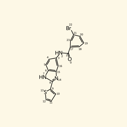 O=C(Nc1ccc2[nH]c(-c3cccs3)nc2c1)c1cccc(Br)c1